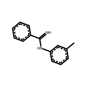 Cc1cccc(NC(=N)c2ccccc2)c1